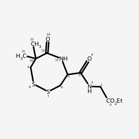 CCOC(=O)CNC(=O)C1CSSCC(C)(C)C(=O)N1